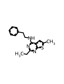 CCc1nc(NCCc2ccccc2)c2cc(C)sc2n1